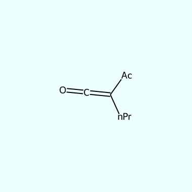 CCCC(=C=O)C(C)=O